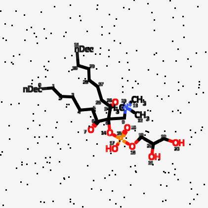 CCCCCCCCCCCCCCCC(=O)C(C[N+](C)(C)C)(OP(=O)(O)OCC(O)CO)C(=O)CCCCCCCCCCCCCCC